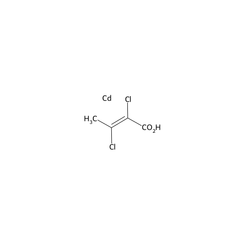 C/C(Cl)=C(\Cl)C(=O)O.[Cd]